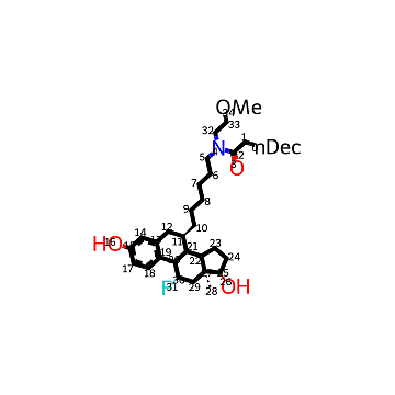 CCCCCCCCCCCC(=O)N(CCCCCC[C@@H]1Cc2cc(O)ccc2C2C1C1CC[C@H](O)[C@@]1(C)C[C@@H]2F)CCOC